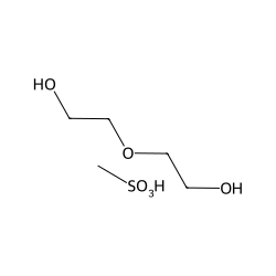 CS(=O)(=O)O.OCCOCCO